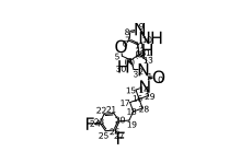 O=C(N1C[C@@H]2COc3cn[nH]c3[C@@H]2C1)N1CC2(CC(Cc3ccc(F)cc3F)C2)C1